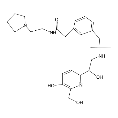 CC(C)(Cc1cccc(CC(=O)NCCN2CCCC2)c1)NCC(O)c1ccc(O)c(CO)n1